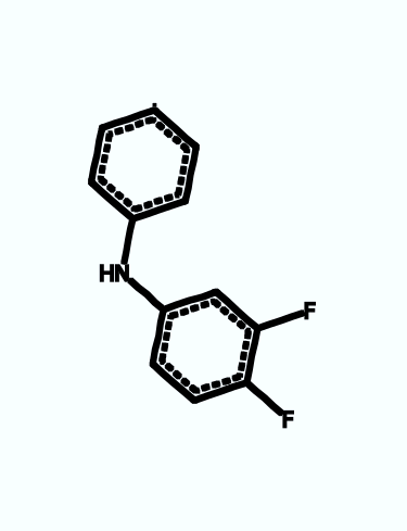 Fc1ccc(Nc2cc[c]cc2)cc1F